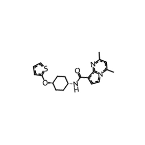 Cc1cc(C)n2ccc(C(=O)N[C@H]3CC[C@H](Oc4cccs4)CC3)c2n1